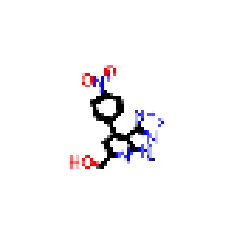 Cn1nc(N)c2c(-c3ccc([N+](=O)[O-])cc3)cc(CO)nc21